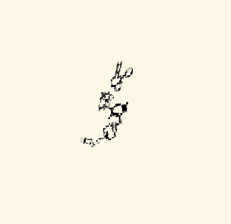 Cc1cc(CN2CCN(C(=O)O)[C@@H](C)C2)c(C)c(Nc2nnc([C@@H]3CNC(=O)O3)o2)c1